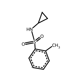 Cc1cc[c]cc1S(=O)(=O)NC1CC1